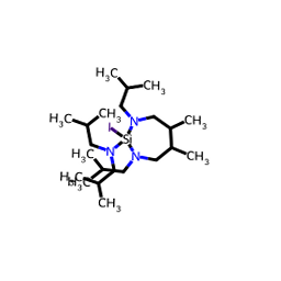 CC(C)CN(CC(C)C)[Si]1(I)N(CC(C)C)CC(C)C(C)CN1CC(C)C